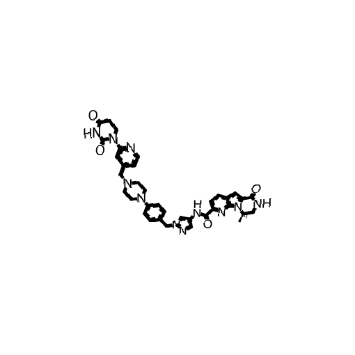 C[C@@H]1CNC(=O)c2cc3ccc(C(=O)Nc4cnn(Cc5ccc(N6CCN(Cc7ccnc(N8CCC(=O)NC8=O)c7)CC6)cc5)c4)nc3n21